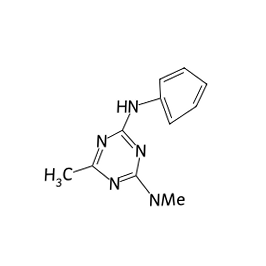 CNc1nc(C)nc(Nc2ccccc2)n1